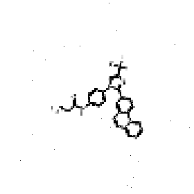 NCC(=O)Nc1ccc(-n2cc(C(F)(F)F)nc2-c2ccc3c(ccc4ccccc43)c2)cc1